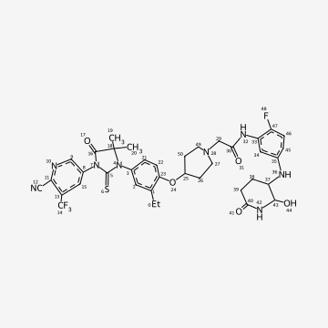 CCc1cc(N2C(=S)N(c3cnc(C#N)c(C(F)(F)F)c3)C(=O)C2(C)C)ccc1OC1CCN(CC(=O)Nc2cc(NC3CCC(=O)NC3O)ccc2F)CC1